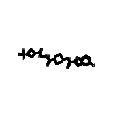 O=C(NN1CCC(C(=O)NNC(=O)[C@H]2C[C@@H](C(F)(F)F)C2)CC1)c1cc2cc(Cl)ccc2o1